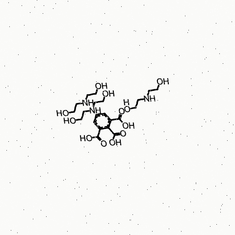 O=C(O)c1cccc(C(=O)O)c1C(=O)O.OCCNCCO.OCCNCCO.OCCNCCO